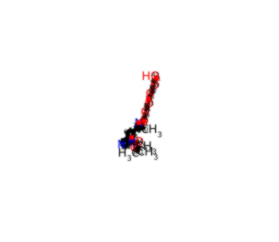 Cc1cc(-c2ccc3c4cnccc4n(C(=O)OC(C)(C)C)c3c2)cnc1OCCOCCOCCOCCOCCO